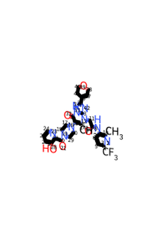 Cc1nc(C(F)(F)F)ccc1NC(=O)Cn1c(C)c(N2CCN(C(=O)c3ncccc3O)CC2)c(=O)n2nc(C3=CCOCC3)nc12